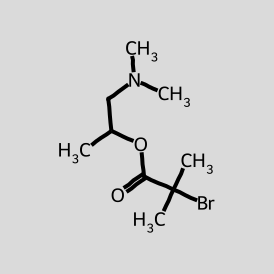 CC(CN(C)C)OC(=O)C(C)(C)Br